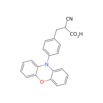 N#CC(Cc1ccc(N2c3ccccc3Oc3ccccc32)cc1)C(=O)O